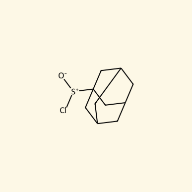 [O-][S+](Cl)C12CC3CC(CC(C3)C1)C2